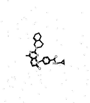 Cc1nc(N2CCC3CCCC=C3C2)nc2c1ccc(=O)n2-c1ccc(C(=O)NC2CC2)cc1